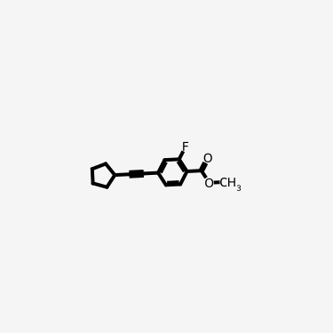 COC(=O)c1ccc(C#CC2CCCC2)cc1F